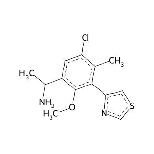 COc1c(C(C)N)cc(Cl)c(C)c1-c1cscn1